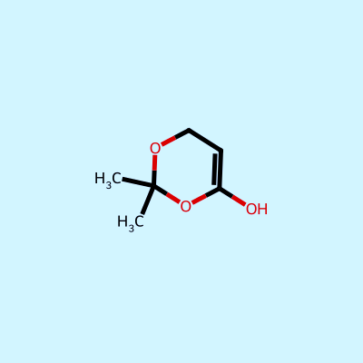 CC1(C)OCC=C(O)O1